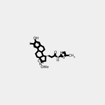 CON=C1C[C@@H](CCC(=O)Nc2ncc(C)s2)C2C3CCc4cc(O)c(I)cc4C3CC[C@]12C